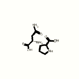 NC(=O)C[C@H](N)C(=O)O.O=C(O)C1CCCN1